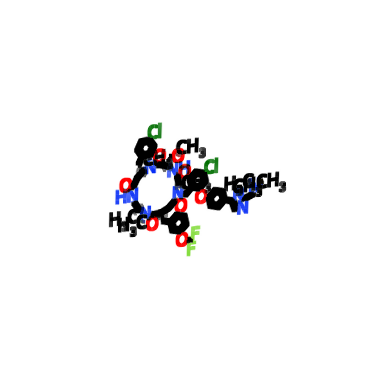 COC[C@@H]1NC(=O)[C@H](C)N(Cc2ccc(Cl)cc2Oc2ccc(-c3cnc(CN(C)C)n3C)cc2)C(=O)C[C@@H](Cc2cccc(OC(F)F)c2)C(=O)N(C)[C@@H](C)CNC(=O)C[C@H](Cc2ccc(Cl)cc2)N(C)C1=O